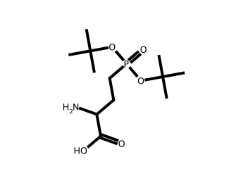 CC(C)(C)OP(=O)(CCC(N)C(=O)O)OC(C)(C)C